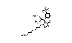 CCCCCCCCCCCCCCCCCC1N=NC(=S)N1N(C(N)=O)c1cccc(S(=O)(=O)[O-])c1.[Na+]